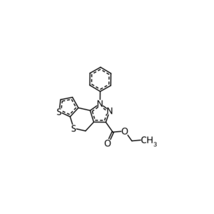 CCOC(=O)c1nn(-c2ccccc2)c2c1CSc1sccc1-2